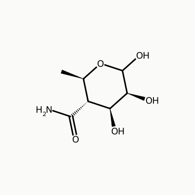 C[C@H]1OC(O)[C@@H](O)[C@@H](O)[C@@H]1C(N)=O